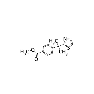 COC(=O)c1ccc(C(C)(C)c2nccs2)cc1